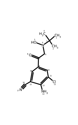 CC(C)(C)N(O)CC(=O)c1cc(Cl)c(N)c(C#N)c1